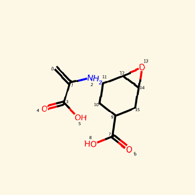 C=C(N)C(=O)O.O=C(O)C1CCC2OC2C1